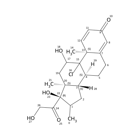 CC1C[C@H]2[C@@H]3CCC4=CC(=O)C=C[C@]4(C)C3(Cl)C(O)C[C@]2(C)[C@@]1(O)C(=O)CO